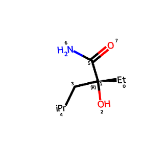 CC[C@@](O)(CC(C)C)C(N)=O